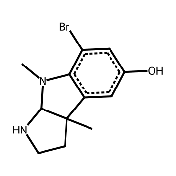 CN1c2c(Br)cc(O)cc2C2(C)CCNC12